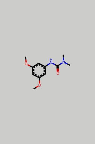 COc1cc(NC(=O)N(C)C)cc(OC)c1